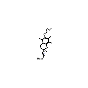 CCCCCCC/C=C/[C@]1(C)CCC2C(=C(C)C(C)=C(OCC(=O)O)C2C)O1